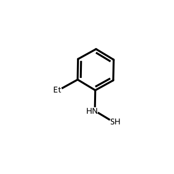 CCc1ccccc1NS